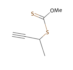 C#CC(C)SC(=S)OC